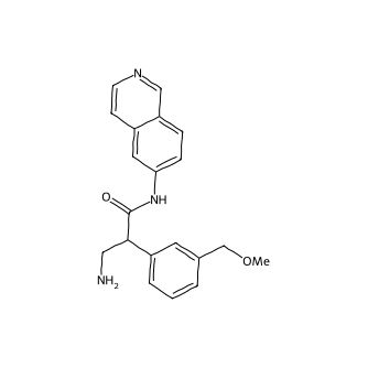 COCc1cccc(C(CN)C(=O)Nc2ccc3cnccc3c2)c1